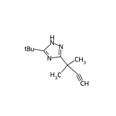 C#CC(C)(C)c1n[nH]c(C(C)(C)C)n1